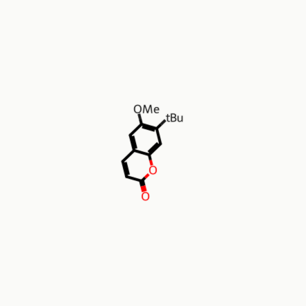 COc1cc2ccc(=O)oc2cc1C(C)(C)C